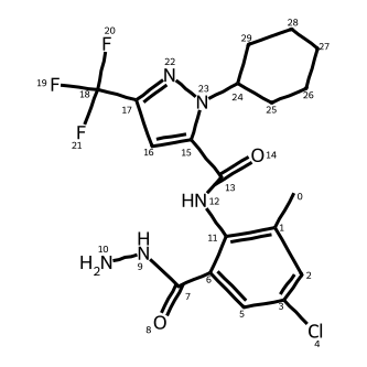 Cc1cc(Cl)cc(C(=O)NN)c1NC(=O)c1cc(C(F)(F)F)nn1C1CCCCC1